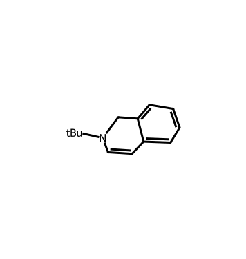 CC(C)(C)N1C=Cc2ccccc2C1